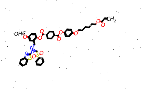 C=CC(=O)OCCCCCCOc1ccc(OC(=O)[C@H]2CC[C@H](C(=O)Oc3ccc(OC=O)cc3/C=N/N(CS(=O)(=O)c3ccccc3)c3nc4ccccc4s3)CC2)cc1